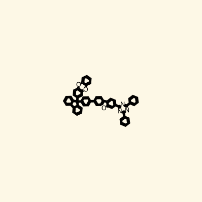 c1ccc(-c2nc(-c3ccccc3)nc(-c3ccc4c(c3)oc3cc(-c5ccc(C6(c7ccc8c(c7)Oc7ccccc7O8)c7ccccc7-c7ccccc76)cc5)ccc34)n2)cc1